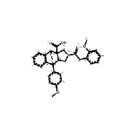 COc1ccc(C23CCC(c4ccccc42)C2(C(=O)O)CN(C(=O)Cc4ccccc4OC)CC32)cc1